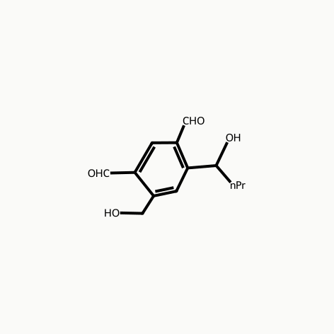 CCCC(O)c1cc(CO)c(C=O)cc1C=O